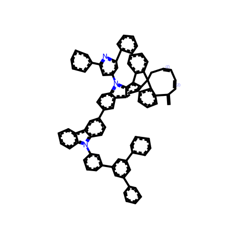 C=C1/C=C\C=C/CC2(c3ccccc31)c1ccccc1-c1c2ccc2c3cc(-c4ccc5c(c4)c4ccccc4n5-c4cccc(-c5cc(-c6ccccc6)cc(-c6ccccc6)c5)c4)ccc3n(-c3cc(-c4ccccc4)nc(-c4ccccc4)c3)c12